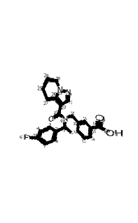 CC(c1ccc(F)cc1)N(Cc1cccc(C(=O)O)c1)C(=O)c1cnn2c1CCCC2